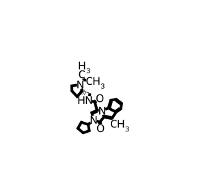 Cc1c2ccccc2n2c(C(=O)NC[C@@H]3CCCN3C(C)C)cn(C3CCCC3)c(=O)c12